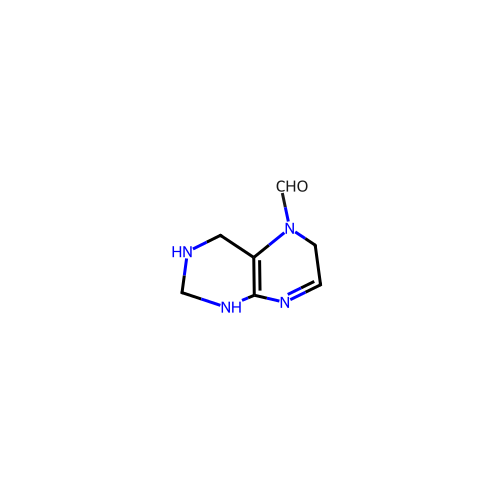 O=CN1CC=NC2=C1CNCN2